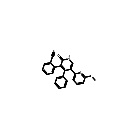 COc1cccc(-c2c[nH]c(=O)c(-c3ccccc3C#N)c2-c2ccccc2)n1